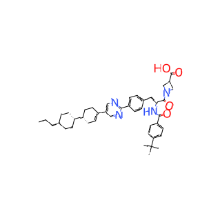 CCC[C@H]1CC[C@H]([C@H]2CC=C(c3cnc(-c4ccc(C[C@H](NC(=O)c5ccc(C(C)(C)C)cc5)C(=O)N5CC(C(=O)O)C5)cc4)nc3)CC2)CC1